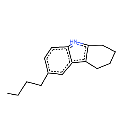 CCCCc1ccc2[nH]c3c(c2c1)CCCC3